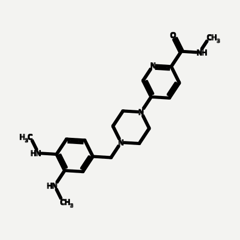 CNC(=O)c1ccc(N2CCN(Cc3ccc(NC)c(NC)c3)CC2)cn1